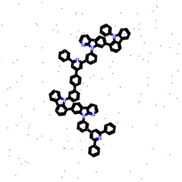 c1ccc(-c2cc(-c3cccc(-n4c5cc(-c6cccc7c8ccccc8n(-c8cccc(-c9ccc(-c%10cc(-c%11ccccc%11)nc(-c%11cccc(-n%12c%13cc(-c%14cccc%15c%16ccccc%16n(-c%16ccccc%16)c%14%15)ccc%13c%13cccnc%13%12)c%11)c%10)cc9)c8)c67)ccc5c5cccnc54)c3)cc(-c3ccccc3)n2)cc1